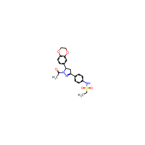 CCS(=O)(=O)Nc1ccc(C2=NN(C(C)=O)C(c3ccc4c(c3)OCCO4)C2)cc1